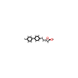 Cc1ccc(-c2ccc(CCC3CC(=O)O3)cc2)cc1